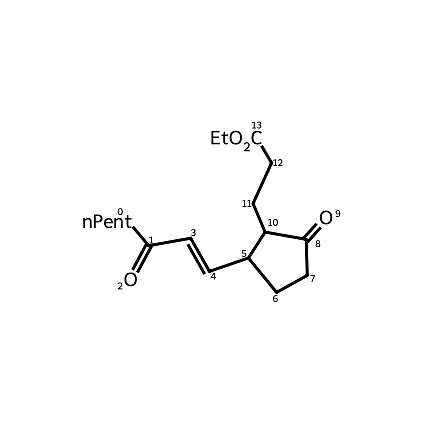 CCCCCC(=O)C=CC1CCC(=O)C1CCC(=O)OCC